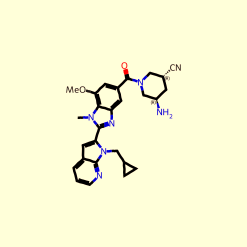 COc1cc(C(=O)N2C[C@H](N)C[C@@H](C#N)C2)cc2nc(-c3cc4cccnc4n3CC3CC3)n(C)c12